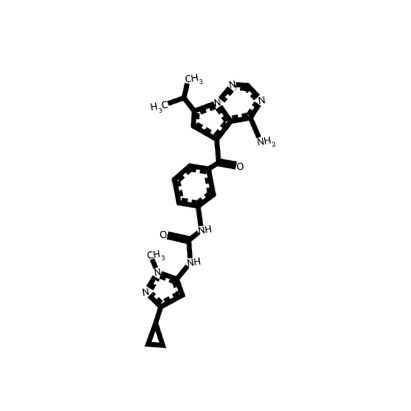 CC(C)c1cc(C(=O)c2cccc(NC(=O)Nc3cc(C4CC4)nn3C)c2)c2c(N)ncnn12